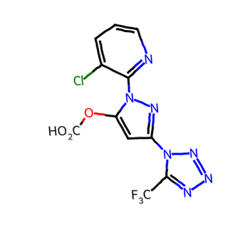 O=C(O)Oc1cc(-n2nnnc2C(F)(F)F)nn1-c1ncccc1Cl